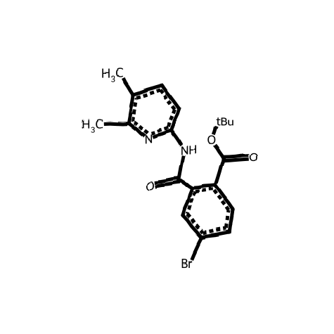 Cc1ccc(NC(=O)c2cc(Br)ccc2C(=O)OC(C)(C)C)nc1C